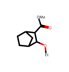 CCOC1C2CCC(C2)C1C(=O)OC